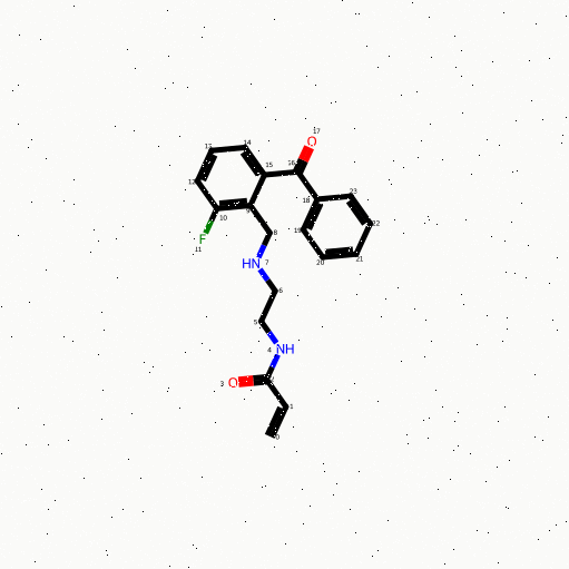 C=CC(=O)NCCNCc1c(F)cccc1C(=O)c1ccccc1